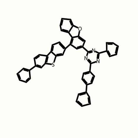 c1ccc(-c2ccc(-c3nc(-c4ccccc4)nc(-c4cc(-c5ccc6c(c5)sc5cc(-c7ccccc7)ccc56)c5c(c4)oc4ccccc45)n3)cc2)cc1